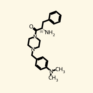 CN(C)c1ccc(CN2CCN(C(=O)[C@@H](N)Cc3ccccc3)CC2)cc1